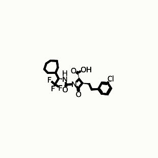 O=C(O)[C@@H]1[C@@H](CCc2cccc(Cl)c2)C(=O)N1C(=O)N[C@@H](C1CCCCCC1)C(F)(F)F